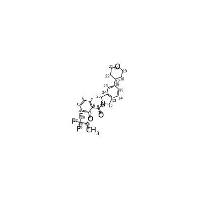 C[C@H](Oc1ccccc1C(=O)N1Cc2ccc(C3CCOCC3)cc2C1)C(F)(F)F